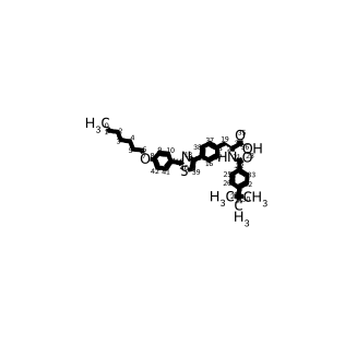 CCCCCCCOc1ccc(-c2nc(-c3ccc(C[C@H](NC(=O)c4ccc(C(C)(C)C)cc4)C(=O)O)cc3)cs2)cc1